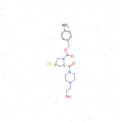 O=C([C@@H]1C[C@H](S)CN1C(=O)OCc1ccc([N+](=O)[O-])cc1)N1CCN(CCO)CC1